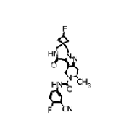 CC1Cc2nn3c(c2CN1C(=O)Nc1ccc(F)c(C#N)c1)C(=O)NCC1(CC(F)C1)C3